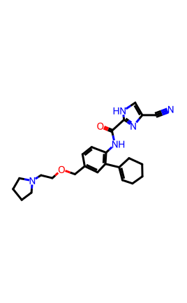 N#Cc1c[nH]c(C(=O)Nc2ccc(COCCN3CCCC3)cc2C2=CCCCC2)n1